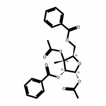 CC(=O)O[C@H]1O[C@H](COC(=O)c2ccccc2)[C@@](C)(OC(C)=O)[C@H]1OC(=O)c1ccccc1